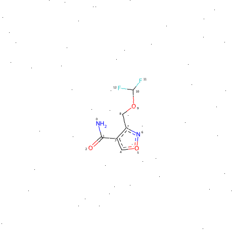 NC(=O)c1conc1COC(F)F